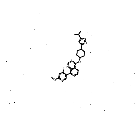 COc1cc(F)c(-c2nccc3c(OC4CCC(c5nc(C(C)C)no5)CC4)ncnc23)cn1